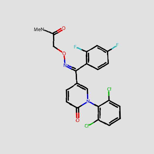 CNC(=O)CON=C(c1ccc(=O)n(-c2c(Cl)cccc2Cl)c1)c1ccc(F)cc1F